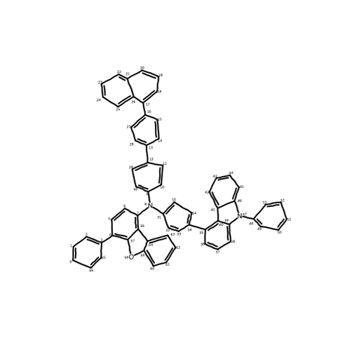 c1ccc(-c2ccc(N(c3ccc(-c4ccc(-c5cccc6ccccc56)cc4)cc3)c3ccc(-c4cccc5c4c4ccccc4n5-c4ccccc4)cc3)c3c2oc2ccccc23)cc1